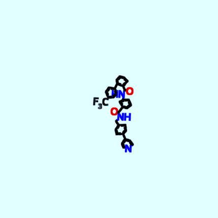 O=C(NCc1ccc(-c2ccncc2)cc1)c1cccc(NC(=O)c2ccccc2-c2ccc(C(F)(F)F)cc2)c1